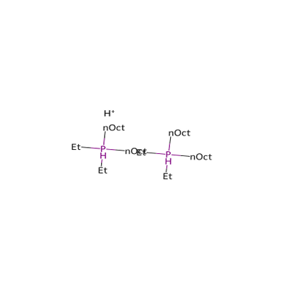 CCCCCCCC[PH](CC)(CC)CCCCCCCC.CCCCCCCC[PH](CC)(CC)CCCCCCCC.[H+]